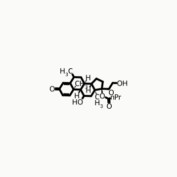 CCCC(=O)O[C@]1(C(=O)CO)CC[C@H]2[C@@H]3CC(C)C4=CC(=O)C=C[C@]4(C)[C@H]3C(O)C[C@@]21C